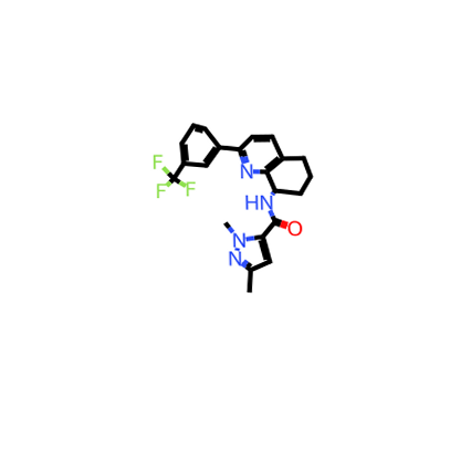 Cc1cc(C(=O)NC2CCCc3ccc(-c4cccc(C(F)(F)F)c4)nc32)n(C)n1